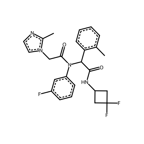 Cc1ccccc1C(C(=O)NC1CC(F)(F)C1)N(C(=O)Cn1ccnc1C)c1cccc(F)c1